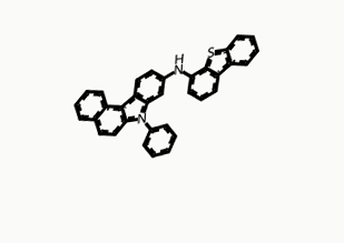 c1ccc(-n2c3cc(Nc4cccc5c4sc4ccccc45)ccc3c3c4ccccc4ccc32)cc1